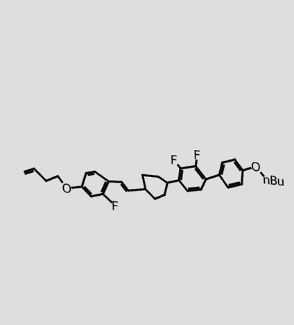 C=CCCOc1ccc(/C=C/C2CCC(c3ccc(-c4ccc(OCCCC)cc4)c(F)c3F)CC2)c(F)c1